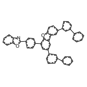 c1ccc(-c2cccc(-c3ccc4oc5c(-c6ccc(-c7nc8ccccc8o7)cc6)cc(-c6cccc(-c7ccccc7)c6)cc5c4c3)c2)cc1